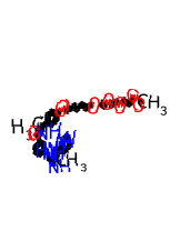 COC(=O)CCOCCOCCOCCCCCCOc1ccc([C@@H](C)NC(=O)c2cccc(NCC(=N)N(C)C(=N)c3ccncn3)c2)cc1